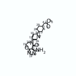 COC(=O)CC1CCC(c2ccc(N3CCOc4ncnc(N)c4C3=O)cn2)CC1